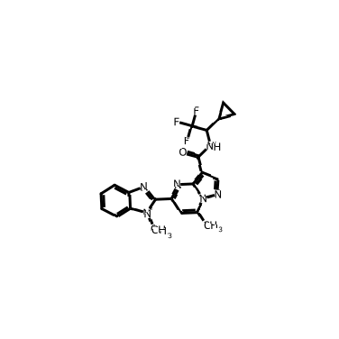 Cc1cc(-c2nc3ccccc3n2C)nc2c(C(=O)NC(C3CC3)C(F)(F)F)cnn12